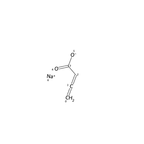 C=C=CC(=O)[O-].[Na+]